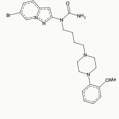 COc1ccccc1N1CCN(CCCCN(C(N)=O)c2cc3ccc(Br)cn3n2)CC1